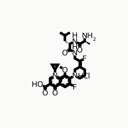 COc1c(N2CCC/C(=C(\F)CNC(=O)[C@H](CC(C)C)NC(=O)[C@H](C)N)C2)c(F)cc2c(=O)c(C(=O)O)cn(C3CC3)c12.Cl